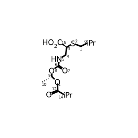 CC(C)CS[C@@H](CNC(=O)O[C@@H](C)OC(=O)C(C)C)C(=O)O